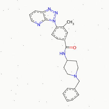 Cc1cc(C(=O)NC2CCN(Cc3ccccc3)CC2)ccc1-n1nnc2cccnc21